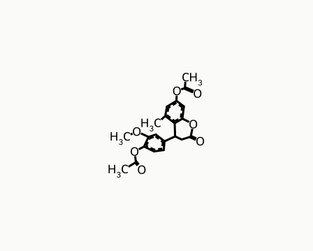 COc1cc(C2CC(=O)Oc3cc(OC(C)=O)cc(C)c32)ccc1OC(C)=O